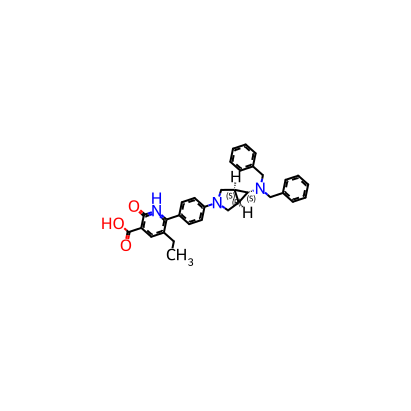 CCc1cc(C(=O)O)c(=O)[nH]c1-c1ccc(N2C[C@@H]3[C@H](C2)[C@H]3N(Cc2ccccc2)Cc2ccccc2)cc1